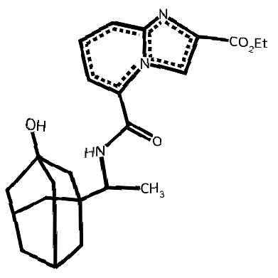 CCOC(=O)c1cn2c(C(=O)NC(C)C34CC5CC(CC(O)(C5)C3)C4)cccc2n1